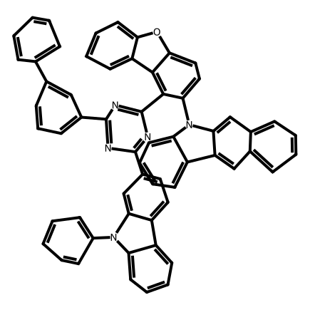 c1ccc(-c2cccc(-c3nc(-c4ccc5c6ccccc6n(-c6ccccc6)c5c4)nc(-c4c(-n5c6ccccc6c6cc7ccccc7cc65)ccc5oc6ccccc6c45)n3)c2)cc1